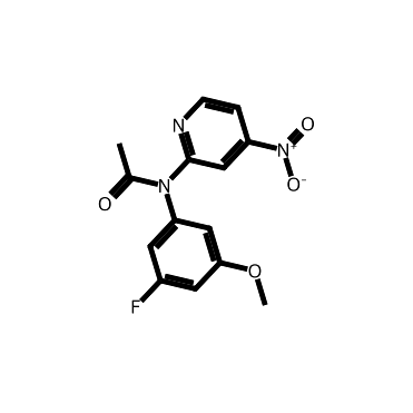 COc1cc(F)cc(N(C(C)=O)c2cc([N+](=O)[O-])ccn2)c1